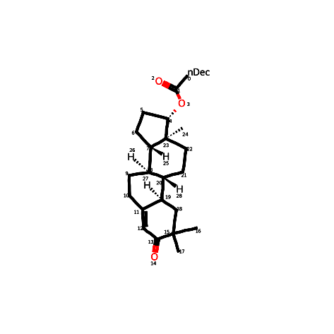 CCCCCCCCCCC(=O)O[C@H]1CC[C@H]2[C@@H]3CCC4=CC(=O)C(C)(C)C[C@@H]4[C@H]3CC[C@]12C